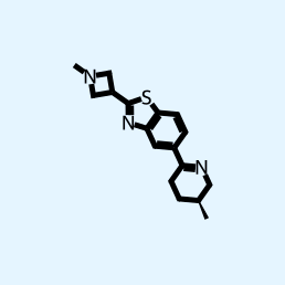 C[C@H]1CCC(c2ccc3sc(C4CN(C)C4)nc3c2)=NC1